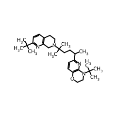 CC(CCC(C)(C)N1CCc2ccc(C(C)(C)C)nc2C1)c1ccc2c(n1)N(C(C)(C)C)CCO2